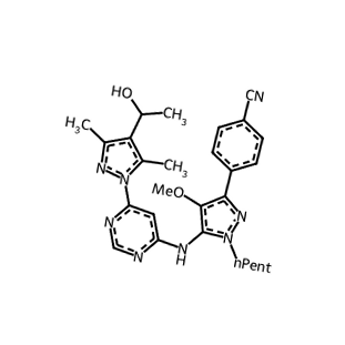 CCCCCn1nc(-c2ccc(C#N)cc2)c(OC)c1Nc1cc(-n2nc(C)c(C(C)O)c2C)ncn1